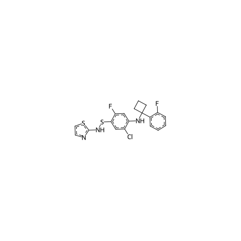 Fc1cc(NC2(c3ccccc3F)CCC2)c(Cl)cc1SNc1nccs1